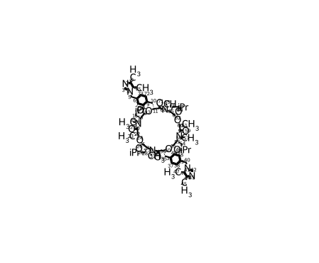 Cc1ncn(Cc2ccc(C[C@H]3OC(=O)[C@H](CC(C)C)N(C)C(=O)[C@@H](C)OC(=O)[C@H](CC(C)C)N(C)C(=O)[C@@H](Cc4ccc(Cn5cnc(C)c5C)cc4)OC(=O)[C@H](CC(C)C)N(C)C(=O)[C@@H](C)OC(=O)[C@H](CC(C)C)N(C)C3=O)cc2)c1C